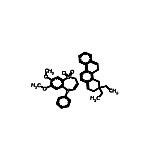 CCC1(CC)CC=c2ccc3c(c2C1)CC=c1ccccc1=3.COc1cc2c(cc1OC)S(=O)(=O)CC=CN2c1ccccc1